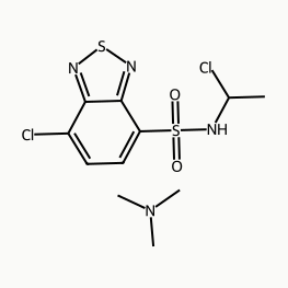 CC(Cl)NS(=O)(=O)c1ccc(Cl)c2nsnc12.CN(C)C